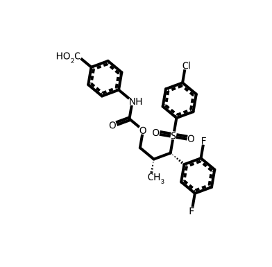 C[C@H](COC(=O)Nc1ccc(C(=O)O)cc1)[C@@H](c1cc(F)ccc1F)S(=O)(=O)c1ccc(Cl)cc1